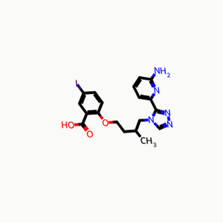 CC(CCOc1ccc(I)cc1C(=O)O)Cn1cnnc1-c1cccc(N)n1